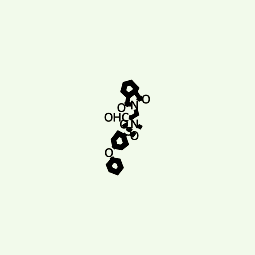 CN(C(C=O)CN1C(=O)c2ccccc2C1=O)S(=O)(=O)c1ccc(Oc2ccccc2)cc1